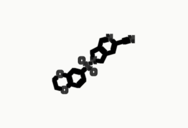 N#Cc1cc2c(cn1)CN(S(=O)(=O)c1ccc3c(c1)OCCO3)C2